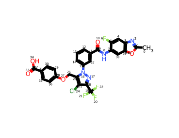 Cc1nc2cc(F)c(NC(=O)c3cccc(-n4nc(C(F)(F)F)c(Cl)c4COc4ccc(C(=O)O)cc4)c3)cc2o1